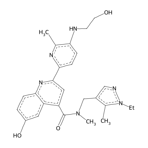 CCn1ncc(CN(C)C(=O)c2cc(-c3ccc(NCCO)c(C)n3)nc3ccc(O)cc23)c1C